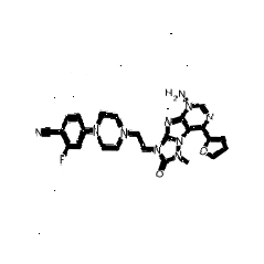 CN1C(=O)N(CCN2CCN(c3ccc(C#N)c(F)c3)CC2)C2N=C3C(=C(c4ccco4)N=CN3N)N21